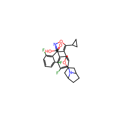 O=C(O)c1ccc(N2C3CCC2CC(OCc2c(-c4c(F)cccc4F)noc2C2CC2)C3)c(F)c1